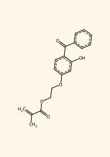 C=C(C)C(=O)OCCOc1ccc(C(=O)c2ccccc2)c(O)c1